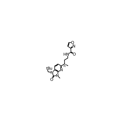 C[C@H](CCNC(=O)c1ccon1)c1ccc2c(n1)n(C)c(=O)n2CC(C)(C)C